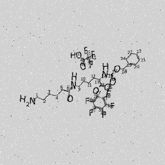 NCCCCCC(=O)NCCCCC(NC(=O)OCc1ccccc1)C(=O)Oc1c(F)c(F)c(F)c(F)c1F.O=C(O)C(F)(F)F